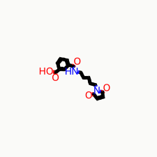 O=C(O)c1cccc(C(=O)NCCCCCN2C(=O)C=CC2=O)c1